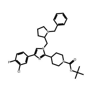 CC(C)(C)OC(=O)N1CCC(c2nc(-c3ccc(F)c(Cl)c3)cn2CC2CCCN2Cc2ccccc2)CC1